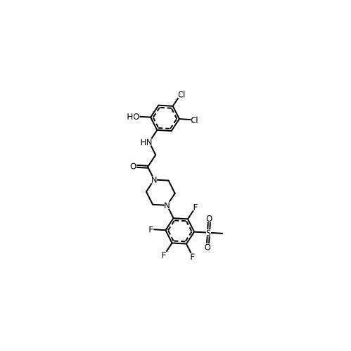 CS(=O)(=O)c1c(F)c(F)c(F)c(N2CCN(C(=O)CNc3cc(Cl)c(Cl)cc3O)CC2)c1F